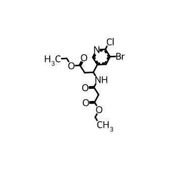 CCOC(=O)CC(=O)NC(CC(=O)OCC)c1cnc(Cl)c(Br)c1